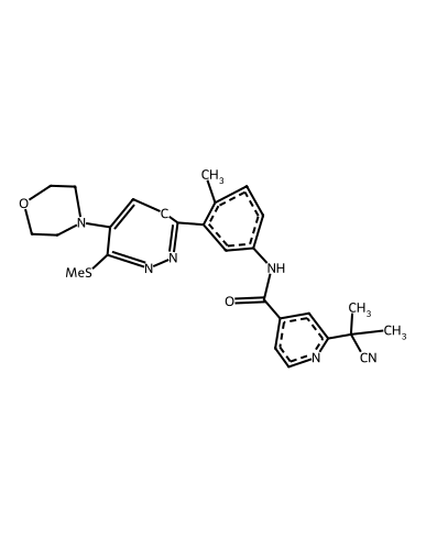 CSC1=NN=C(c2cc(NC(=O)c3ccnc(C(C)(C)C#N)c3)ccc2C)CC=C1N1CCOCC1